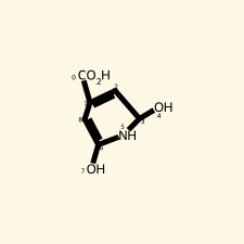 O=C(O)C1=CC(O)NC(O)=C1